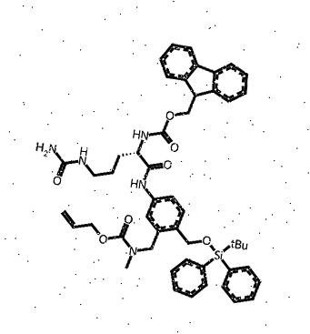 C=CCOC(=O)N(C)Cc1cc(NC(=O)[C@H](CCCNC(N)=O)NC(=O)OCC2c3ccccc3-c3ccccc32)ccc1CO[Si](c1ccccc1)(c1ccccc1)C(C)(C)C